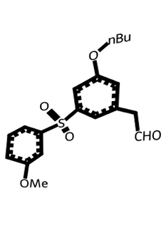 CCCCOc1cc(CC=O)cc(S(=O)(=O)c2cccc(OC)c2)c1